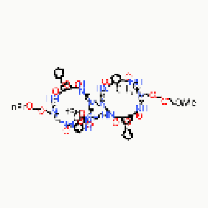 CCCOCCOCCN1CCNC(=O)c2cccc(c2C)C(=O)NCCN(CCN2CCNC(=O)c3cccc(c3C)C(=O)NCCN(CCOCCOCCOC)CCNC(=O)c3cccc(c3OCc3ccccc3)C(=O)NC(CCCCNC(=O)OC(C)(C)C)C2)CCNC(=O)c2cccc(c2OCc2ccccc2)C(=O)NCC1